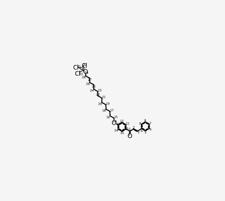 O=C(/C=C/c1ccccc1)c1ccc(OCCCCCCCCCCCCCCO[Si](Cl)(Cl)Cl)cc1